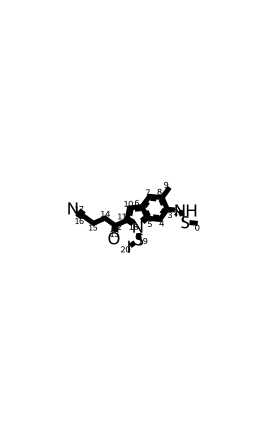 CSNc1cc2c(cc1C)cc(C(=O)CCC#N)n2SI